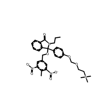 CCCN1C(=O)c2ccccc2C1(OCc1cc([N+](=O)[O-])c(C)c([N+](=O)[O-])c1)c1ccc(OCOCCS(C)(C)C)cc1